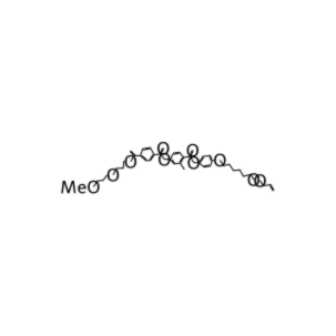 C=CCOOCCCCCCOc1ccc(OC(=O)c2ccc(OC(=O)c3ccc(C(=C)OCCCOCCCOC)cc3)cc2C)cc1